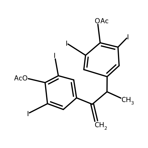 C=C(c1cc(I)c(OC(C)=O)c(I)c1)C(C)c1cc(I)c(OC(C)=O)c(I)c1